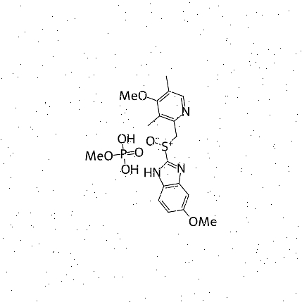 COP(=O)(O)O.COc1ccc2[nH]c([S+]([O-])Cc3ncc(C)c(OC)c3C)nc2c1